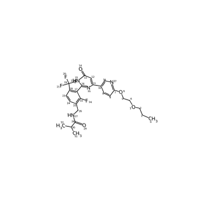 CCCOCCOc1ccc(-c2cc(=O)[nH]c(-c3c(C(F)(F)F)ccc(CNC(=O)C(C)C)c3F)n2)cn1